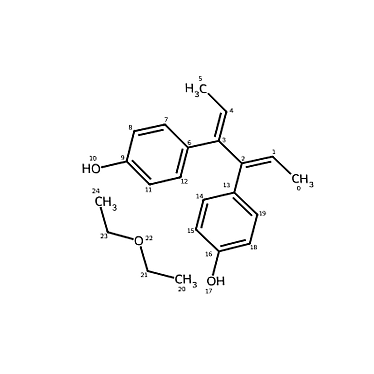 C/C=C(/C(=C/C)c1ccc(O)cc1)c1ccc(O)cc1.CCOCC